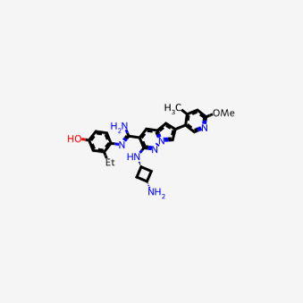 CCc1cc(O)ccc1N=C(N)c1cc2cc(-c3cnc(OC)cc3C)cn2nc1N[C@H]1C[C@@H](N)C1